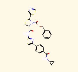 O=C(NC1CC1)c1ccc(-c2csc(NC(=O)[C@@H]3CSC(c4cncs4)N3C(=O)OCc3ccccc3)n2)cc1